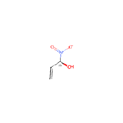 C=C[C@H](O)[N+](=O)[O-]